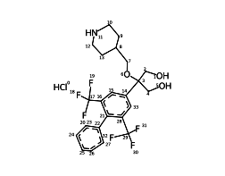 Cl.OCC(CO)(OCC1CCNCC1)c1cc(C(F)(F)F)c(-c2ccccc2)c(C(F)(F)F)c1